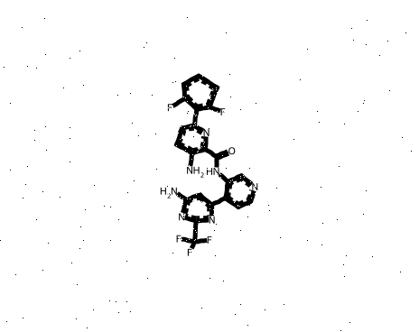 Nc1cc(-c2ccncc2NC(=O)c2nc(-c3c(F)cccc3F)ccc2N)nc(C(F)(F)F)n1